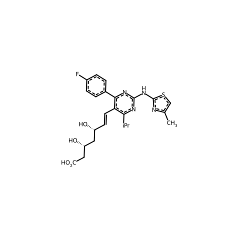 Cc1csc(Nc2nc(-c3ccc(F)cc3)c(/C=C/[C@@H](O)C[C@@H](O)CC(=O)O)c(C(C)C)n2)n1